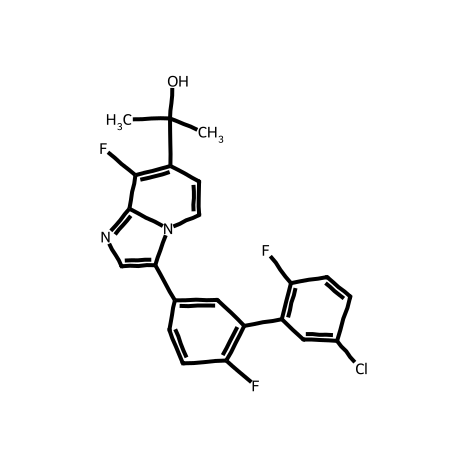 CC(C)(O)c1ccn2c(-c3ccc(F)c(-c4cc(Cl)ccc4F)c3)cnc2c1F